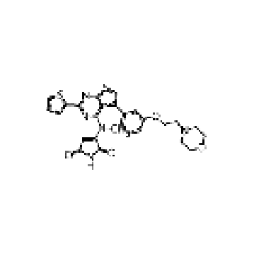 CN(C1=CC(=O)NC1=O)c1nc(-c2cccs2)nc2scc(-c3cccc(OCCN4CCOCC4)c3)c12